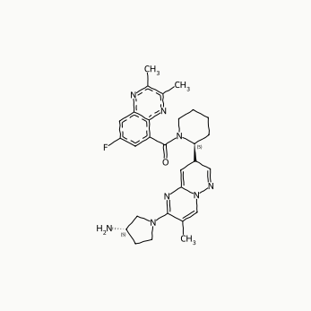 CC1=CN2N=CC([C@@H]3CCCCN3C(=O)c3cc(F)cc4nc(C)c(C)nc34)C=C2N=C1N1CC[C@H](N)C1